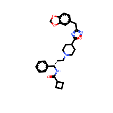 O=C(N[C@@H](CCN1CCC(c2nc(Cc3ccc4c(c3)OCO4)no2)CC1)c1ccccc1)C1CCC1